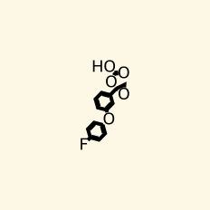 O=C(O)O[C@]1(c2cccc(Oc3ccc(F)cc3)c2)CO1